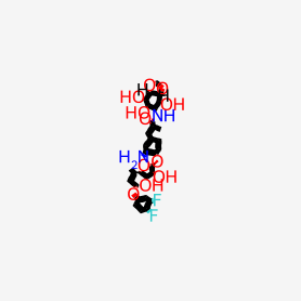 C/C(=C/COc1ccc(F)c(F)c1)[C@H]1O[C@@H](Oc2ccc(/C=C(\C)C(=O)N[C@@H]3[C@H](O)[C@@H](O)[C@H]4OCO[C@H]4[C@@H]3O)cc2N)[C@@H](O)[C@@H]1O